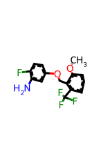 COc1cccc(C(F)(F)F)c1COc1ccc(F)c(N)c1